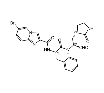 O=C[C@H](C[C@@H]1CCNC1=O)NC(=O)[C@H](Cc1ccccc1)NC(=O)c1cn2cc(Br)ccc2n1